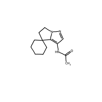 CC(=O)Nc1cnn2c1C1(CCCCC1)CC2